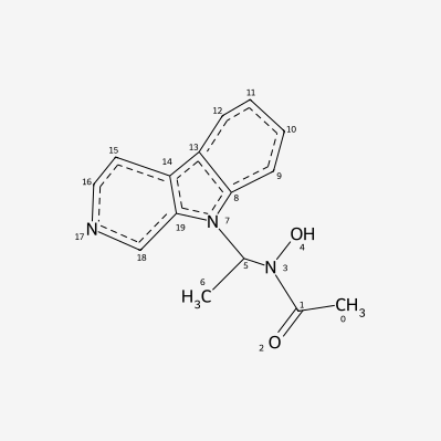 CC(=O)N(O)C(C)n1c2ccccc2c2ccncc21